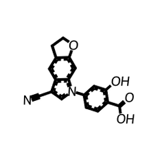 N#Cc1cn(-c2ccc(C(=O)O)c(O)c2)c2cc3c(cc12)CCO3